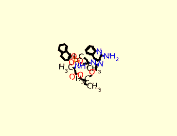 CCCCOC(=O)[C@H](C)NP(=O)(OC[C@@](C)(CC)n1c(COCC)nc2c(N)nc3ccccc3c21)Oc1ccc2ccccc2c1